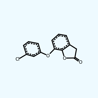 O=C1Cc2cccc(Oc3cccc(Cl)c3)c2O1